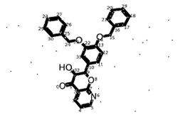 O=C1c2cccnc2OC(c2ccc(OCc3ccccc3)c(OCc3ccccc3)c2)C1O